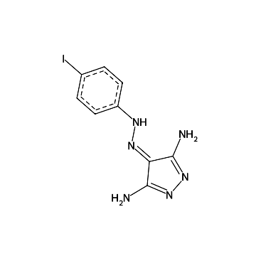 NC1=NN=C(N)C1=NNc1ccc(I)cc1